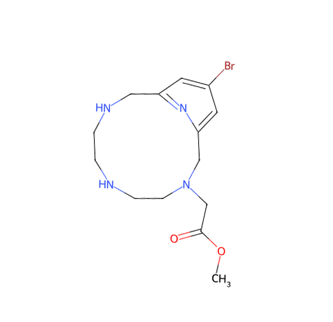 COC(=O)CN1CCNCCNCc2cc(Br)cc(n2)C1